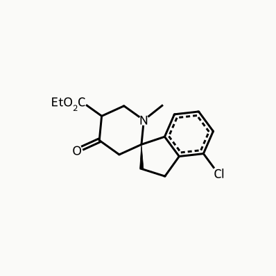 CCOC(=O)C1CN(C)[C@@]2(CCc3c(Cl)cccc32)CC1=O